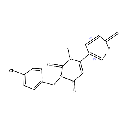 C=C(F)/C=C\C(=C/C)c1cc(=O)n(Cc2ccc(Cl)cc2)c(=O)n1C